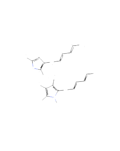 CC=CC=[CH][Ru][c]1c(CC)c(CC)c(CC)n1CC.CC=CC=[CH][Ru][c]1cc(C)[nH]c1C